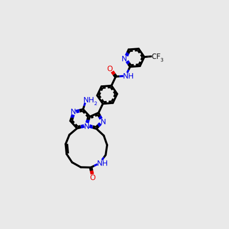 Nc1ncc2n3c(nc(-c4ccc(C(=O)Nc5cc(C(F)(F)F)ccn5)cc4)c13)CCCNC(=O)CC/C=C\C2